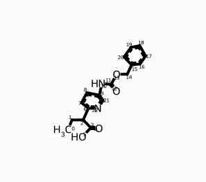 CCC(C(=O)O)c1ccc(NC(=O)OCc2ccccc2)cn1